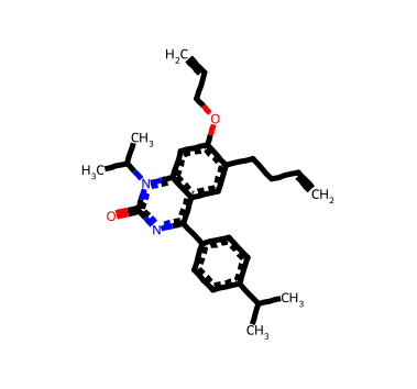 C=CCCc1cc2c(-c3ccc(C(C)C)cc3)nc(=O)n(C(C)C)c2cc1OCC=C